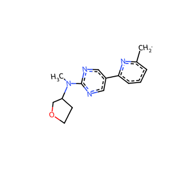 [CH2]c1cccc(-c2cnc(N(C)C3CCOC3)nc2)n1